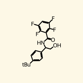 CC(C)(C)c1ccc(C(CO)NC(=O)c2c(F)c(F)cc(F)c2F)cc1